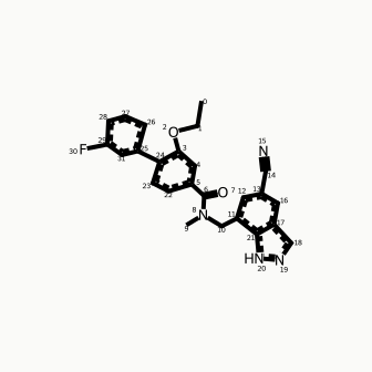 CCOc1cc(C(=O)N(C)Cc2cc(C#N)cc3cn[nH]c23)ccc1-c1cccc(F)c1